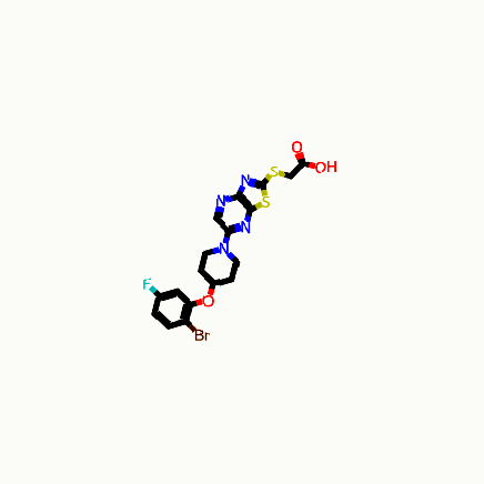 O=C(O)CSc1nc2ncc(N3CCC(Oc4cc(F)ccc4Br)CC3)nc2s1